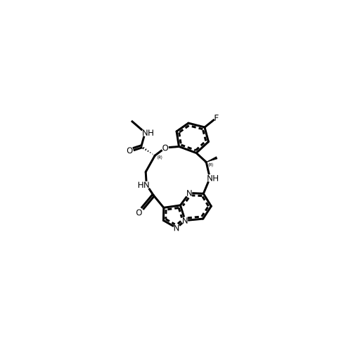 CNC(=O)[C@H]1CNC(=O)c2cnn3ccc(nc23)N[C@H](C)c2cc(F)ccc2O1